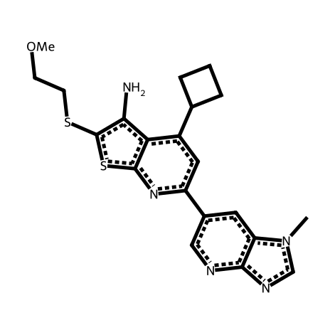 COCCSc1sc2nc(-c3cnc4ncn(C)c4c3)cc(C3CCC3)c2c1N